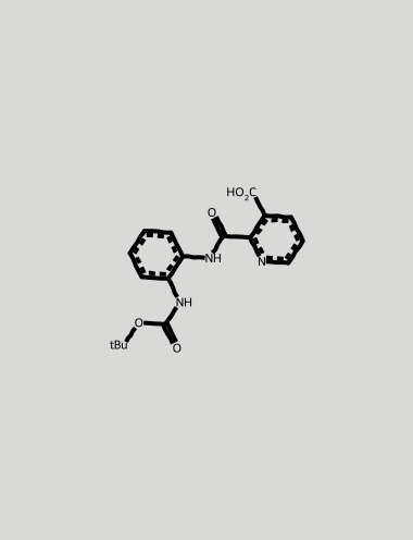 CC(C)(C)OC(=O)Nc1ccccc1NC(=O)c1ncccc1C(=O)O